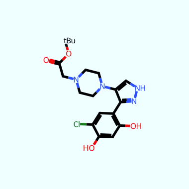 CC(C)(C)OC(=O)CN1CCN(c2c[nH]nc2-c2cc(Cl)c(O)cc2O)CC1